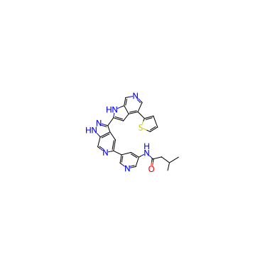 CC(C)CC(=O)Nc1cncc(-c2cc3c(-c4cc5c(-c6cccs6)cncc5[nH]4)n[nH]c3cn2)c1